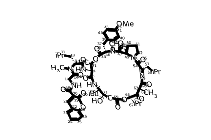 CC[C@H](C)C1NC(=O)[C@@H](NC(=O)[C@@H](CC(C)C)N(C)C(=O)CNC(=O)c2cc3ccccc3oc2=O)[C@@H](C)OC(=O)[C@H](Cc2ccc(OC)cc2)N(C)C(=O)[C@@H]2CCCN2C(=O)[C@H](CC(C)C)NC(=O)[C@@H](C)C(=O)[C@H](C(C)C)OC(=O)C[C@@H]1O